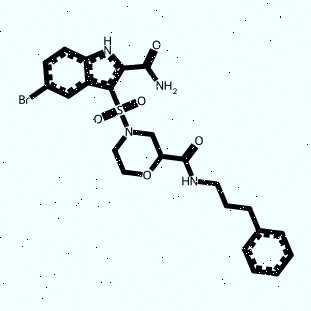 NC(=O)c1[nH]c2ccc(Br)cc2c1S(=O)(=O)N1CCOC(C(=O)NCCCc2ccccc2)C1